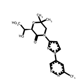 CC1(C)CN(c2ccn(-c3cnnc(C(F)(F)F)c3)n2)C(=O)[C@@H](C(O)C(=O)O)O1